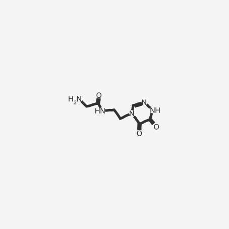 NCC(=O)NCCn1[c]n[nH]c(=O)c1=O